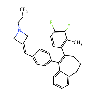 Cc1c(C2=C(c3ccc(C=C4CN(CCC(F)(F)F)C4)cc3)c3ccccc3CCC2)ccc(F)c1F